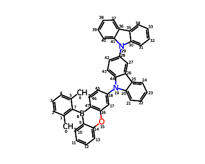 Cc1cccc(C)c1B1c2ccccc2Oc2cc(-n3c4ccccc4c4cc(-n5c6ccccc6c6ccccc65)ccc43)ccc21